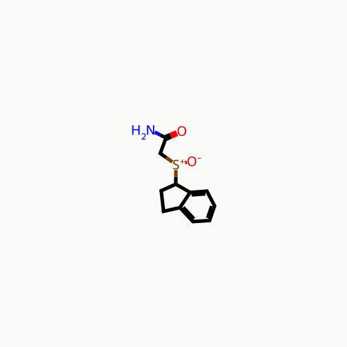 NC(=O)C[S+]([O-])C1CCc2ccccc21